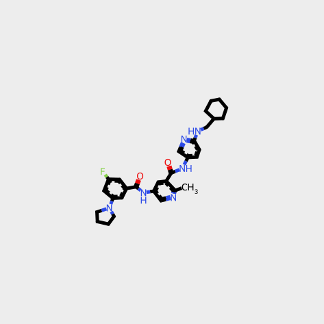 Cc1ncc(NC(=O)c2cc(F)cc(N3CCCC3)c2)cc1C(=O)Nc1ccc(NCC2CCCCC2)nc1